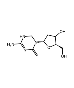 C=C1N=C(N)NCN1[C@H]1CC(O)[C@@H](CO)O1